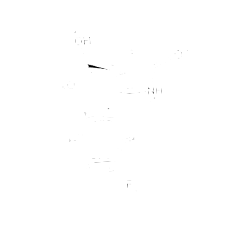 O=C1C[C@H](C(=O)O)[C@@H](c2cccc(F)c2)N1